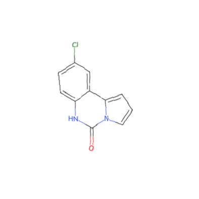 O=c1[nH]c2ccc(Cl)cc2c2cccn12